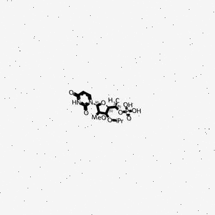 COC1C(OC(C)C)[C@@H]([C@@H](C)OP(=O)(O)O)O[C@H]1n1ccc(=O)[nH]c1=O